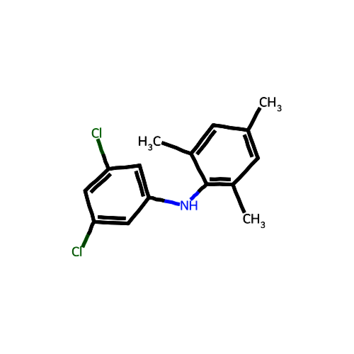 Cc1cc(C)c(Nc2cc(Cl)cc(Cl)c2)c(C)c1